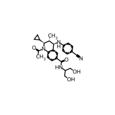 CC(=O)N1c2ccc(C(=O)NC(CO)CO)cc2[C@H](Nc2ccc(C#N)cc2)[C@@H](C)[C@@H]1C1CC1